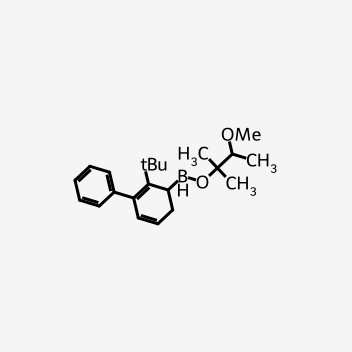 COC(C)C(C)(C)OBC1CC=CC(c2ccccc2)=C1C(C)(C)C